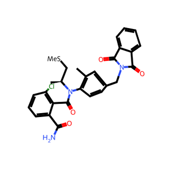 CSC[C@H](C)N(C(=O)c1c(Cl)cccc1C(N)=O)c1ccc(CN2C(=O)c3ccccc3C2=O)cc1C